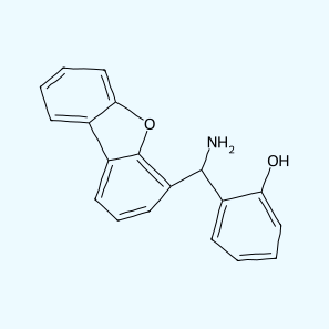 NC(c1ccccc1O)c1cccc2c1oc1ccccc12